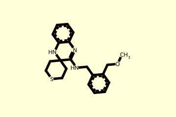 COCc1ccccc1CNC1=Nc2ccccc2NC12CCSCC2